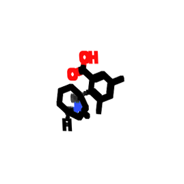 Cc1cc(C)c([C@]23CCC[C@H](CC2)N3C)c(C(=O)O)c1